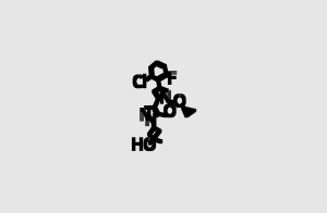 Cc1c(-c2cc(-c3c(F)cccc3Cl)cn2C(=O)OC2CC2)cnn1C1CC(C)(O)C1